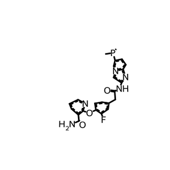 CP(C)c1ccc2nc(NC(=O)Cc3ccc(Oc4ncccc4C(N)=O)c(F)c3)cn2c1